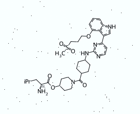 CC(C)C[C@H](N)C(=O)OC1CCN(C(=O)C2CCC(Nc3nccc(-c4c[nH]c5cccc(OCCCS(C)(=O)=O)c45)n3)CC2)CC1